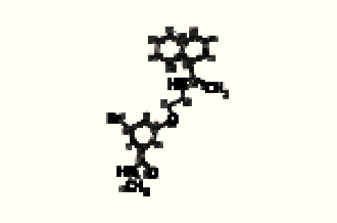 CNC(=O)c1cc(Br)cc(OCCN[C@H](C)c2cccc3ccccc23)c1